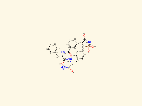 NC(=O)C(Cc1ccc(C2CC(=O)NS2(=O)=O)cc1)NC(=O)[C@H](Cc1ccccc1)NC(=O)c1ccccc1